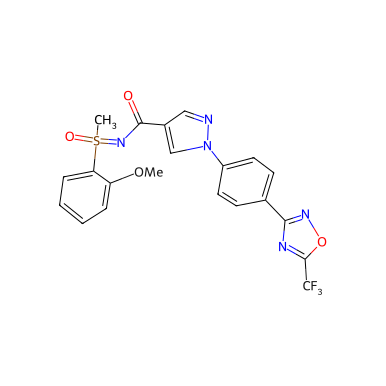 COc1ccccc1S(C)(=O)=NC(=O)c1cnn(-c2ccc(-c3noc(C(F)(F)F)n3)cc2)c1